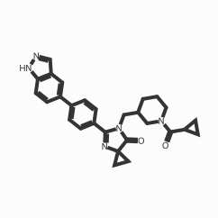 O=C(C1CC1)N1CCCC(CN2C(=O)C3(CC3)N=C2c2ccc(-c3ccc4[nH]ncc4c3)cc2)C1